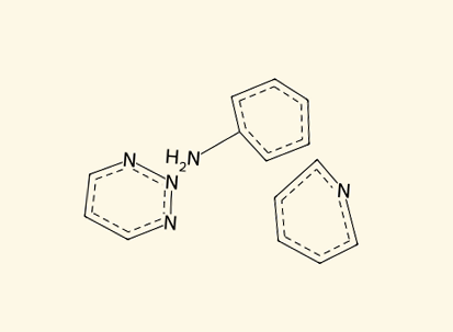 Nc1ccccc1.c1ccncc1.c1cnnnc1